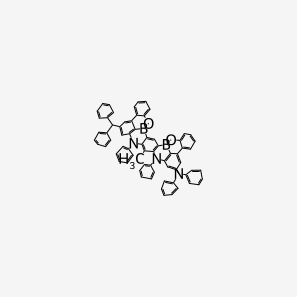 Cc1c2c(cc3c1N(c1ccccc1)c1cc(N(c4ccccc4)c4ccccc4)cc4c1B3Oc1ccccc1-4)B1Oc3ccccc3-c3cc(C(c4ccccc4)c4ccccc4)cc(c31)N2c1ccccc1